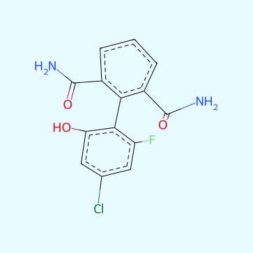 NC(=O)c1cccc(C(N)=O)c1-c1c(O)cc(Cl)cc1F